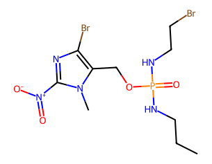 CCCNP(=O)(NCCBr)OCc1c(Br)nc([N+](=O)[O-])n1C